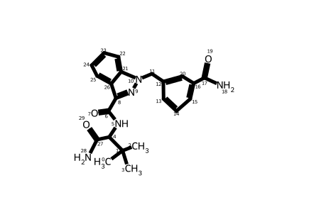 CC(C)(C)C(NC(=O)c1nn(Cc2cccc(C(N)=O)c2)c2ccccc12)C(N)=O